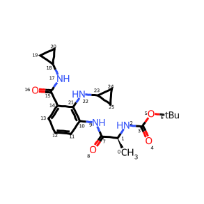 C[C@H](NC(=O)OC(C)(C)C)C(=O)Nc1cccc(C(=O)NC2CC2)c1NC1CC1